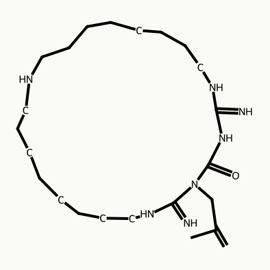 C=C(C)CN1C(=N)NCCCCCCCCNCCCCCCCCNC(=N)NC1=O